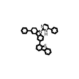 C1=CC(c2ccccc2)NC(n2c3c(c4cc(-c5cccc6c5sc5ccccc56)ccc42)C=C(c2ccccc2)CC3)=N1